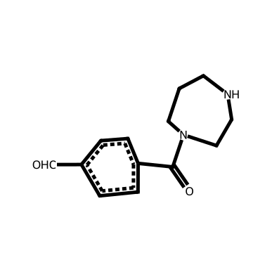 O=Cc1ccc(C(=O)N2CCCNCC2)cc1